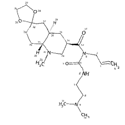 C=CCN(C(=O)NCCN(C)C)C(=O)[C@@H]1C[C@@H]2CC3(CC[C@H]2N(C)C1)OCCO3